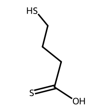 OC(=S)CCCS